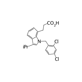 CC(C)c1cn(Cc2ccc(Cl)cc2Cl)c2c(CCC(=O)O)cccc12